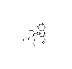 C=C/C(Nc1ncnc(C)c1/N=C(\C)C=O)=C(\C=C\F)CC(C)C